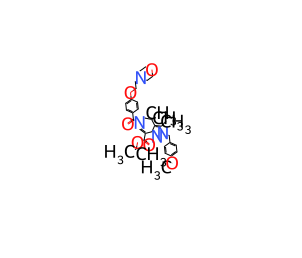 COc1ccc(Cn2nc3c(c2C)C(C)(C)CN(C(=O)c2ccc(OCCN4CCOCC4)cc2)C=C3C(=O)OC(C)C)cc1